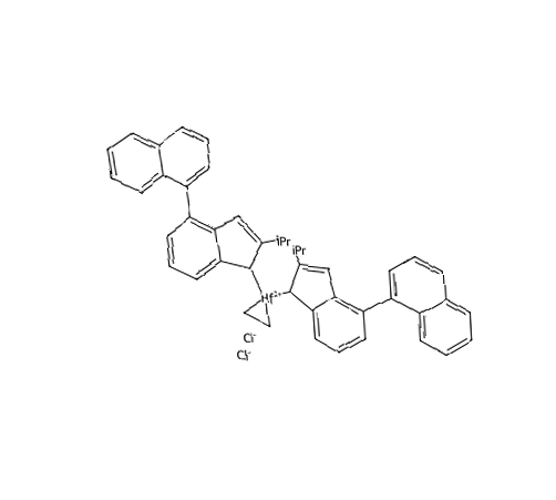 CC(C)C1=Cc2c(-c3cccc4ccccc34)cccc2[CH]1[Hf+2]1([CH]2C(C(C)C)=Cc3c(-c4cccc5ccccc45)cccc32)[CH2][CH2]1.[Cl-].[Cl-]